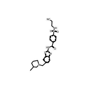 CC1CCCN(Cc2ccc3nc(NC(=O)c4ccc(S(=O)(=O)NCCC#N)cc4)sc3c2)C1